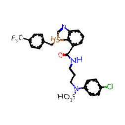 O=C(NCCCN(c1ccc(Cl)cc1)S(=O)(=O)O)c1cccc2c1[SH](Cc1ccc(C(F)(F)F)cc1)C=N2